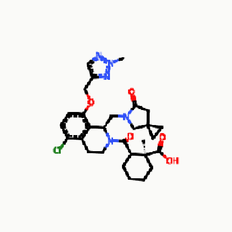 Cn1ncc(COc2ccc(Cl)c3c2[C@@H](CN2CC4(CC4)CC2=O)N(C(=O)[C@@H]2CCCC[C@]2(C)C(=O)O)CC3)n1